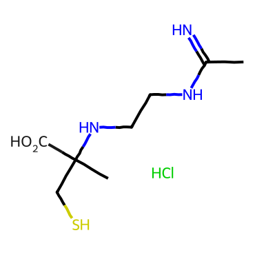 CC(=N)NCCNC(C)(CS)C(=O)O.Cl